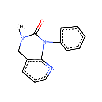 CN1Cc2cccnc2N(c2ccccc2)C1=O